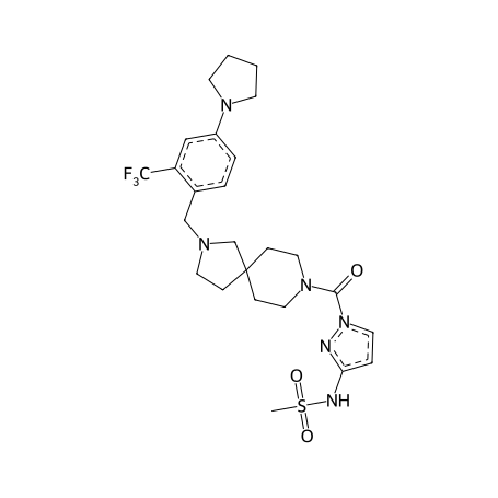 CS(=O)(=O)Nc1ccn(C(=O)N2CCC3(CCN(Cc4ccc(N5CCCC5)cc4C(F)(F)F)C3)CC2)n1